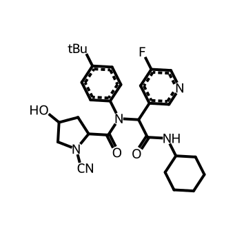 CC(C)(C)c1ccc(N(C(=O)C2CC(O)CN2C#N)C(C(=O)NC2CCCCC2)c2cncc(F)c2)cc1